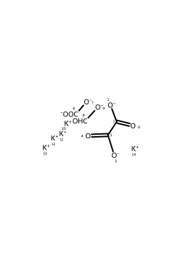 O=C([O-])C(=O)[O-].O=C([O-])[O-].O=C[O-].[K+].[K+].[K+].[K+].[K+]